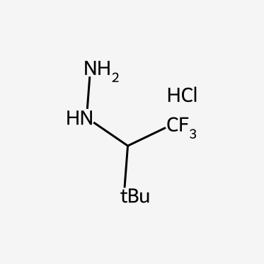 CC(C)(C)C(NN)C(F)(F)F.Cl